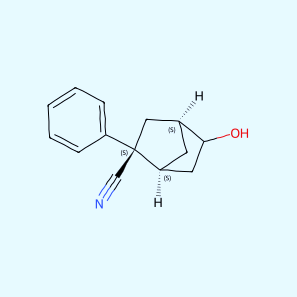 N#C[C@@]1(c2ccccc2)C[C@@H]2C[C@H]1CC2O